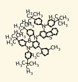 Cc1ccc(C)c(-c2cc3c4c(c2)N(c2cc(N(c5ccc(C(C)(C)C)cc5)c5ccc(C(C)(C)C)cc5)c5c(c2)sc2ccccc25)c2ccc(C(C)(C)C)cc2B4c2cc(C(C)(C)C)ccc2N3c2ccc(C(C)(C)C)cc2)c1